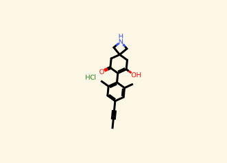 CC#Cc1cc(C)c(C2=C(O)CC3(CNC3)CC2=O)c(C)c1.Cl